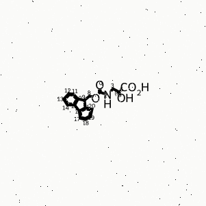 O=C(NC[C@H](O)C(=O)O)OCC1c2ccccc2-c2ccccc21